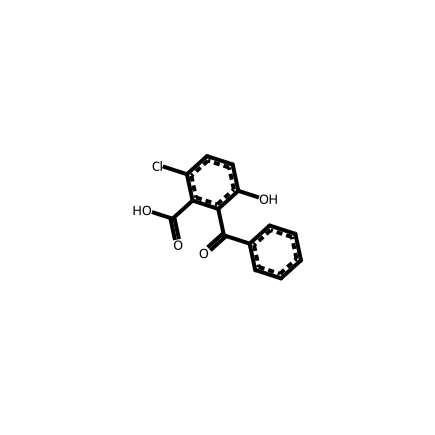 O=C(c1ccccc1)c1c(O)ccc(Cl)c1C(=O)O